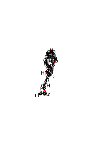 CC(=O)N1c2ccc(-c3ccc(C(=O)NCCOCCOCCOCCOCCOCCOCCOCCOCCNC(=O)c4nc(NC(=O)CCNC(=O)c5c(NC(=O)c6nc(NC(=O)CCNC(=O)c7cc(NC(=O)c8nc(NC(=O)CCNC(=N)N)cn8C)cn7C)cn6C)ccn5C)cn4C)cc3)cc2[C@H](Nc2ccc(Cl)cc2)C[C@@H]1C